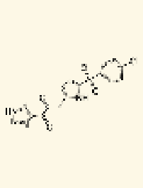 O=C(Cc1ccc(S(=O)(=O)c2ccc(Cl)cc2)[nH]1)C(=O)c1nn[nH]n1